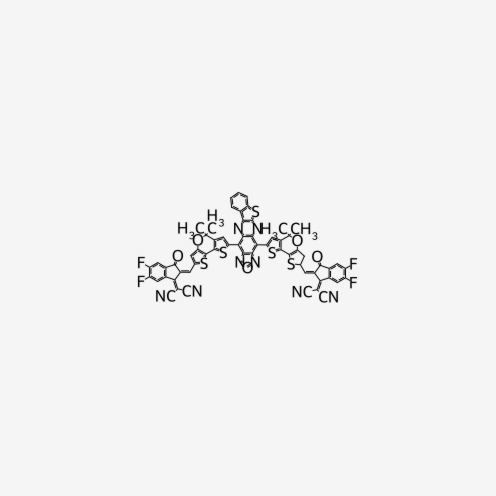 CC1(C)OC2=C(SC(/C=C3\C(=O)c4cc(F)c(F)cc4C3=C(C#N)C#N)C2)c2sc(-c3c4nonc4c(-c4cc5c(s4)-c4sc(/C=C6\C(=O)c7cc(F)c(F)cc7C6=C(C#N)C#N)cc4OC5(C)C)c4nc5c(nc34)sc3ccccc35)cc21